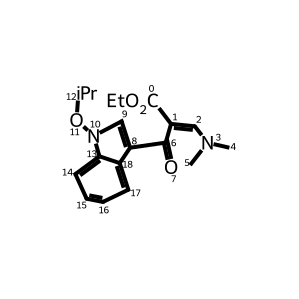 CCOC(=O)/C(=C/N(C)C)C(=O)c1cn(OC(C)C)c2ccccc12